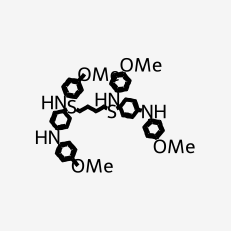 COc1ccc(NC2=CCC(Nc3ccc(OC)cc3)(SCCCCSC3(Nc4ccc(OC)cc4)C=CC(Nc4ccc(OC)cc4)=CC3)C=C2)cc1